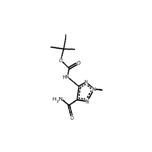 Cn1nc(NC(=O)OC(C)(C)C)c(C(N)=O)n1